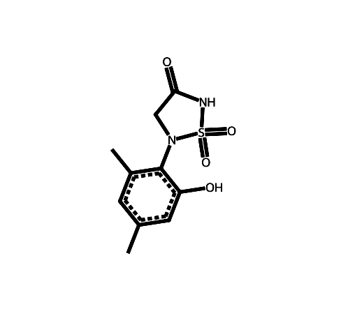 Cc1cc(C)c(N2CC(=O)NS2(=O)=O)c(O)c1